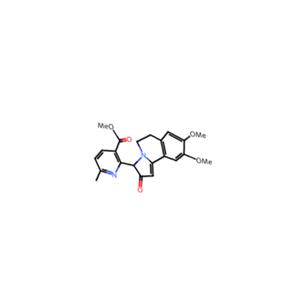 COC(=O)c1ccc(C)nc1C1C(=O)C=C2c3cc(OC)c(OC)cc3CCN21